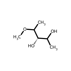 COC(C)[C@@H](O)C(C)O